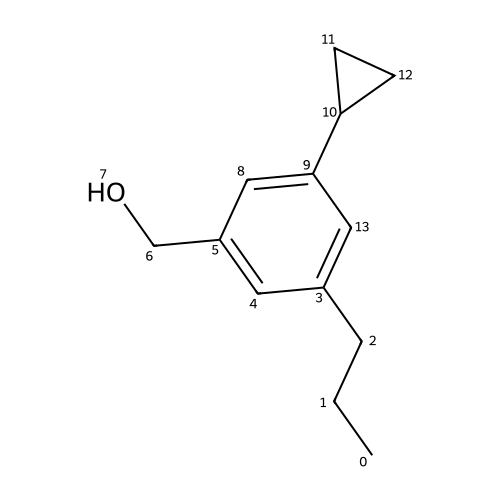 CCCc1cc(CO)cc(C2CC2)c1